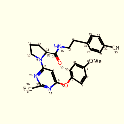 COc1ccc(Oc2cc(N3CCC[C@H]3C(=O)NCCc3ccc(C#N)cc3)nc(C(F)(F)F)n2)cc1